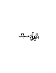 CCC(=O)CCCCC1SC[C@@H]2NC(=O)N[C@H]12